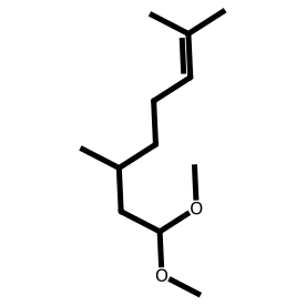 COC(CC(C)CCC=C(C)C)OC